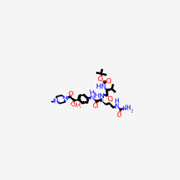 CC(C)[C@H](NC(=O)OC(C)(C)C)C(=O)N[C@@H](CCCNC(N)=O)C(=O)Nc1ccc(C(O)C(=O)N2CCN(C)CC2)cc1